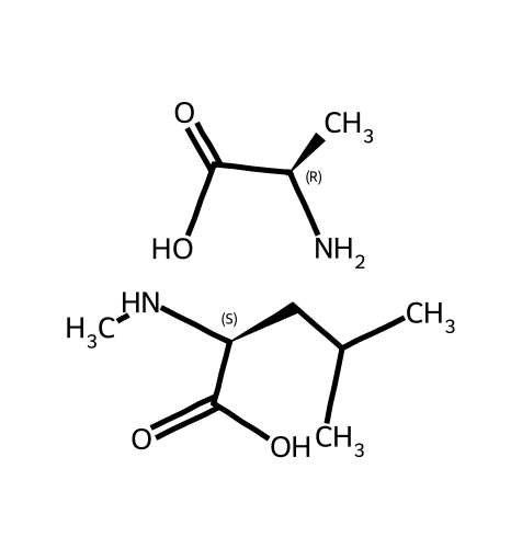 CN[C@@H](CC(C)C)C(=O)O.C[C@@H](N)C(=O)O